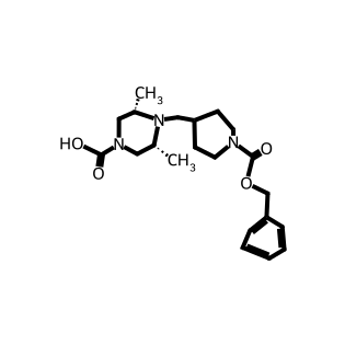 C[C@@H]1CN(C(=O)O)C[C@H](C)N1CC1CCN(C(=O)OCc2ccccc2)CC1